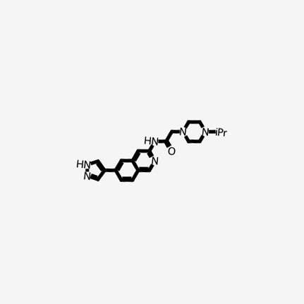 CC(C)N1CCN(CC(=O)Nc2cc3cc(-c4cn[nH]c4)ccc3cn2)CC1